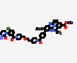 COc1cc2nc(C)nc(NC(C)c3cc(C(=O)OC(C)(C)C)cc(C(F)(F)F)c3)c2cc1C1=CCC(C(=O)N2CCC(CCOCC3CCN(C(=O)c4ccc(Cl)c(N5CCC(=O)NC5=O)c4)CC3)CC2)CC1